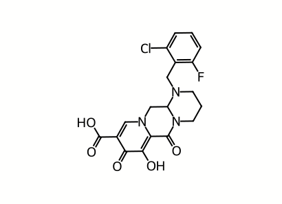 O=C(O)c1cn2c(c(O)c1=O)C(=O)N1CCCN(Cc3c(F)cccc3Cl)C1C2